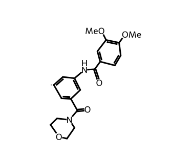 COc1ccc(C(=O)Nc2c[c]cc(C(=O)N3CCOCC3)c2)cc1OC